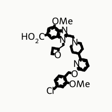 COc1cc(Cl)ccc1COc1cccc(C2CCN(Cc3nc4c(OC)cc(C(=O)O)cc4n3C[C@@H]3CCO3)CC2)n1